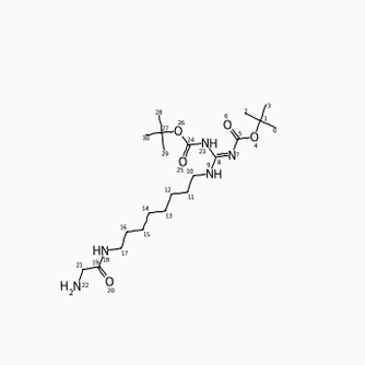 CC(C)(C)OC(=O)/N=C(/NCCCCCCCCNC(=O)CN)NC(=O)OC(C)(C)C